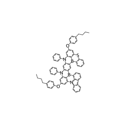 CCCCc1ccc(Oc2cc3c4c(c2)N(c2ccccc2)c2cc5c(cc2B4c2ccccc2S3)B2c3c(cc(Oc4ccc(CCCC)cc4)cc3-n3c4ccccc4c4cccc2c43)N5c2ccccc2)cc1